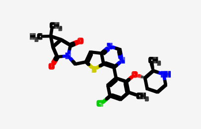 Cc1cc(Cl)cc(-c2ncnc3cc(CN4C(=O)C5C(C4=O)C5(C)C)sc23)c1O[C@H]1CCCN[C@@H]1C